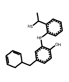 CC(S)c1ccccc1Pc1cc(CC2C=CC=CC2)ccc1O